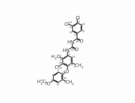 COc1ccc(Oc2c(C)cc(NC(=O)NC(=O)c3ccc(Cl)c(Cl)c3)c(C)c2Cl)c(C)c1